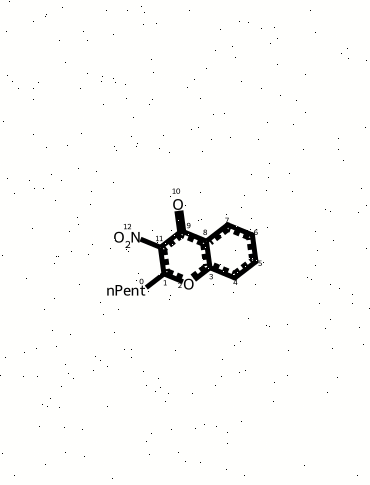 CCCCCc1oc2ccccc2c(=O)c1[N+](=O)[O-]